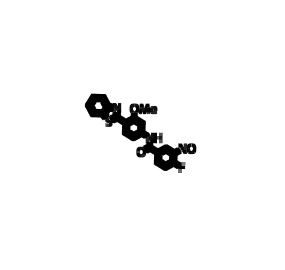 COc1cc(NC(=O)c2ccc(F)c(N=O)c2)ccc1-c1nc2ccccc2s1